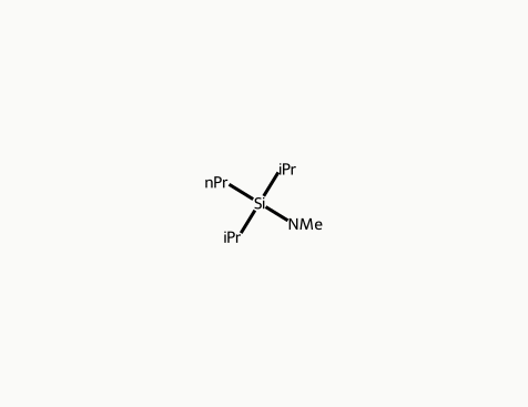 CCC[Si](NC)(C(C)C)C(C)C